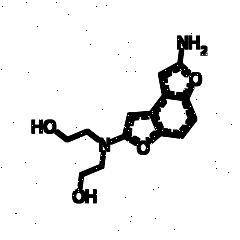 Nc1cc2c(ccc3oc(N(CCO)CCO)cc32)o1